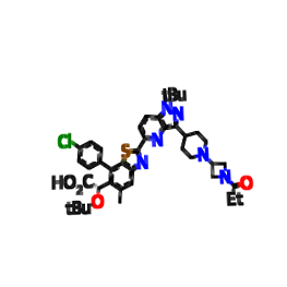 CCC(=O)N1CC(N2CCC(c3nn(C(C)(C)C)c4ccc(-c5nc6cc(C)c([C@H](OC(C)(C)C)C(=O)O)c(-c7ccc(Cl)cc7)c6s5)nc34)CC2)C1